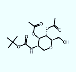 CC(=O)O[C@H]1[C@H](OC(C)=O)[C@@H](CO)OC[C@H]1NC(=O)OC(C)(C)C